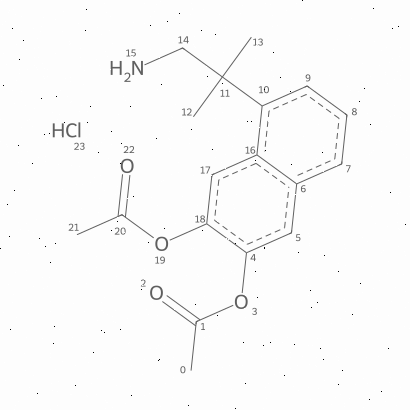 CC(=O)Oc1cc2cccc(C(C)(C)CN)c2cc1OC(C)=O.Cl